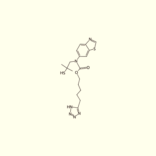 CC(C)(S)CN(C(=O)OCCCCCc1nnn[nH]1)c1ccc2ncsc2c1